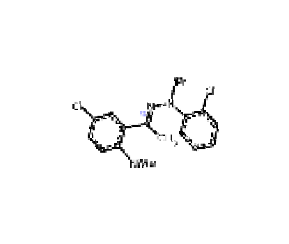 CNc1ccc(Cl)cc1/C(C)=N/N(c1ccccc1Cl)C(C)C